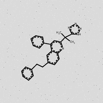 CC(C)(c1cc(-c2ccccc2)c2cc(CCc3ccccc3)ccc2n1)c1nnn[nH]1